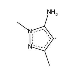 Cc1[c]c(N)n(C)n1